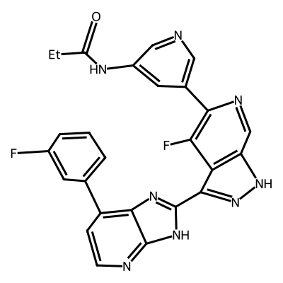 CCC(=O)Nc1cncc(-c2ncc3[nH]nc(-c4nc5c(-c6cccc(F)c6)ccnc5[nH]4)c3c2F)c1